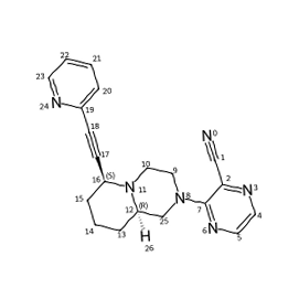 N#Cc1nccnc1N1CCN2[C@H](CCC[C@H]2C#Cc2ccccn2)C1